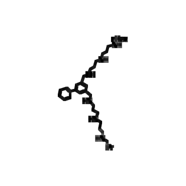 CCCCCCNCCCNCCCNCc1cc(CNCCCNCCCNCC(C)C)cc(-c2ccccc2)c1